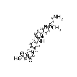 CN(CCCN)c1ccc(-c2ccnc(Nc3cccc(CN4CCN(CC(=O)O)C(=O)C4)c3)n2)cn1